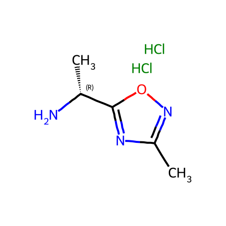 Cc1noc([C@@H](C)N)n1.Cl.Cl